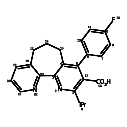 CC(C)c1nc2c(c(-c3ccc(F)cc3)c1C(=O)O)CCCc1cccnc1-2